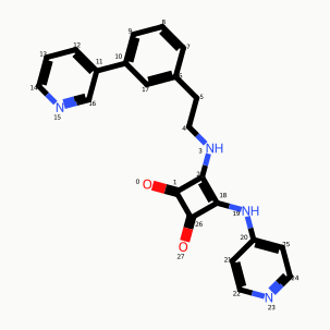 O=c1c(NCCc2cccc(-c3cccnc3)c2)c(Nc2ccncc2)c1=O